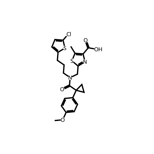 COc1ccc(C2(C(=O)N(CCCc3ccc(Cl)s3)Cc3nc(C(=O)O)c(C)s3)CC2)cc1